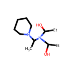 CCC(O)N(C(O)CC)C(C)N1CCCCC1